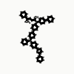 C/C(=C\C=C(/C)N(c1ccc(-c2ccccc2)cc1)c1ccc(-c2ccc(N(c3ccccc3)c3ccc(-c4ccc(-c5ccccc5)s4)cc3)cc2)cc1)c1ccccc1